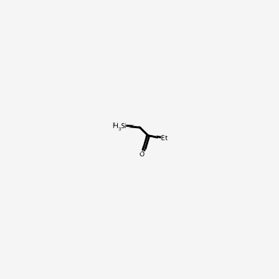 CCC(=O)C[SiH3]